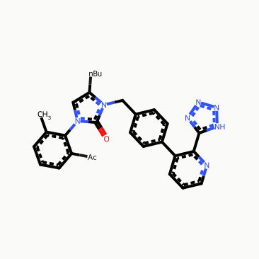 CCCCc1cn(-c2c(C)cccc2C(C)=O)c(=O)n1Cc1ccc(-c2cccnc2-c2nnn[nH]2)cc1